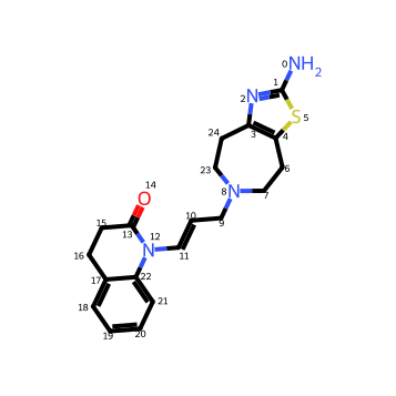 Nc1nc2c(s1)CCN(CC=CN1C(=O)CCc3ccccc31)CC2